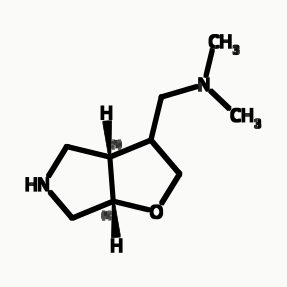 CN(C)CC1CO[C@@H]2CNC[C@H]12